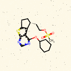 CS(=O)(=O)OCC[C@H]1CCc2sc3ncnc(OC4CCCCC4)c3c21